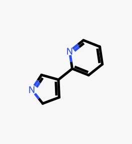 C1=NCC=C1c1ccccn1